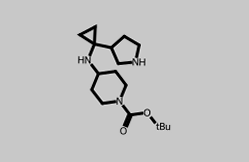 CC(C)(C)OC(=O)N1CCC(NC2(C3CCNC3)CC2)CC1